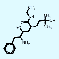 CCNC(=O)[C@H](CCC(C)(C)O)C[C@H](O)[C@@H](N)Cc1ccccc1